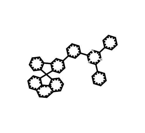 c1ccc(-c2nc(-c3ccccc3)nc(-c3cccc(-c4ccc5c(c4)-c4ccccc4C54c5cccc6ccc7cccc4c7c56)c3)n2)cc1